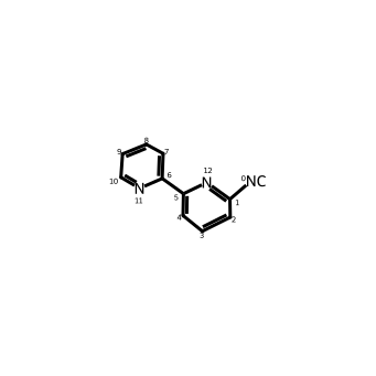 [C-]#[N+]c1cccc(-c2ccccn2)n1